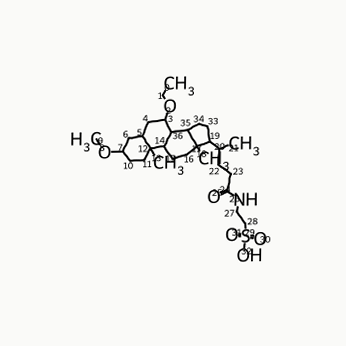 CCOC1CC2CC(OC)CCC2(C)C2CCC3(C)C(C(C)CCC(=O)NCCS(=O)(=O)O)CCC3C12